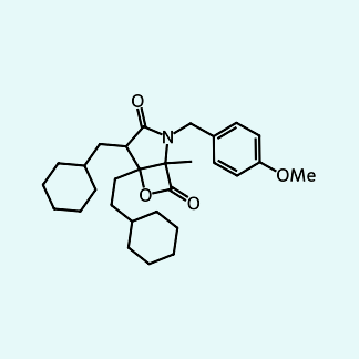 COc1ccc(CN2C(=O)C(CC3CCCCC3)C3(CCC4CCCCC4)OC(=O)C23C)cc1